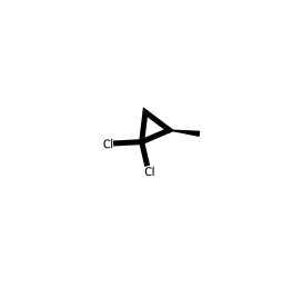 C[C@@H]1CC1(Cl)Cl